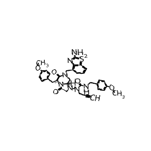 C#CCN(C(=O)NCc1ccc(OC)cc1)N1CC(=O)N2[C@@H](Cc3ccc(OC)cc3)C(=O)N(Cc3cccc4sc(N)nc34)C[C@@H]21